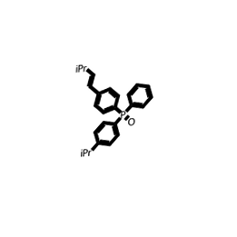 CC(C)/C=C/c1ccc(P(=O)(c2ccccc2)c2ccc(C(C)C)cc2)cc1